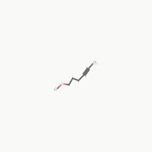 [CH2]COCCCC#CC(F)(F)F